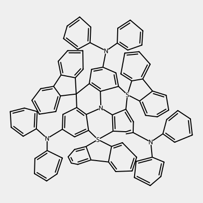 c1ccc(N(c2ccccc2)c2cc3c4c(c2)S2(c5ccccc5-c5ccccc52)c2cc(N(c5ccccc5)c5ccccc5)cc5c2N4c2c(cc(N(c4ccccc4)c4ccccc4)cc2S52c4ccccc4-c4ccccc42)C32c3ccccc3-c3ccccc32)cc1